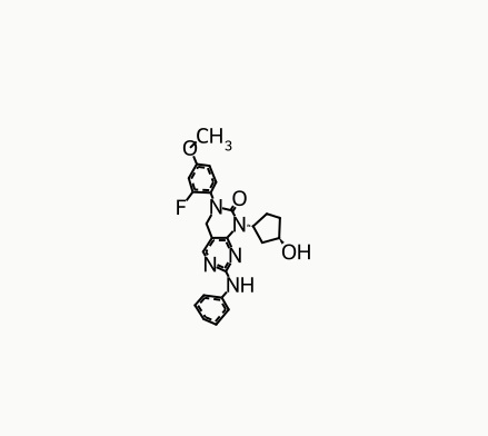 COc1ccc(N2Cc3cnc(Nc4ccccc4)nc3N([C@@H]3CC[C@@H](O)C3)C2=O)c(F)c1